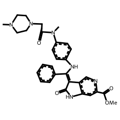 COC(=O)c1cc2c(cn1)/C(=C(\Nc1ccc(N(C)C(=O)CN3CCN(C)CC3)cc1)c1ccccc1)C(=O)N2